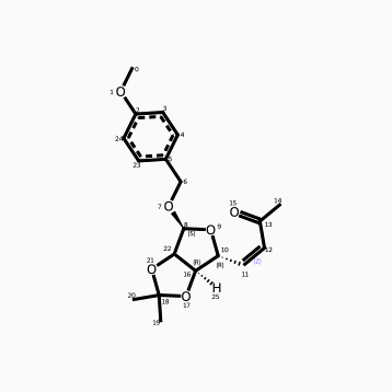 COc1ccc(CO[C@H]2O[C@H](/C=C\C(C)=O)[C@H]3OC(C)(C)OC23)cc1